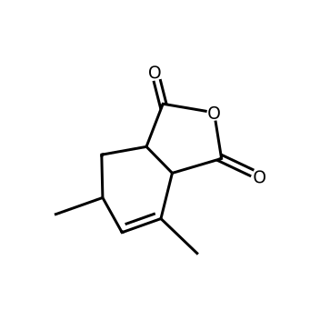 CC1=CC(C)CC2C(=O)OC(=O)C12